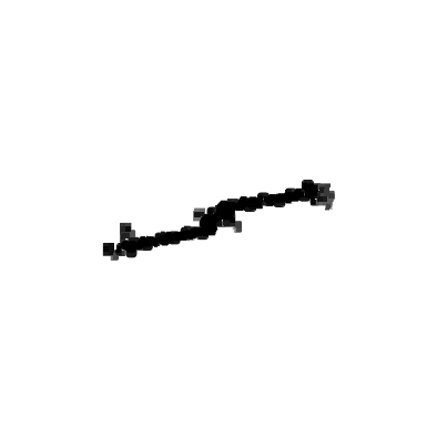 C=C(C)C(=O)OCCOCCOCCOCCOCCOc1ccc(C(C)(C)c2ccc(OCCOCCOCCOCCOCCOC(=O)C(=C)C)cc2)cc1